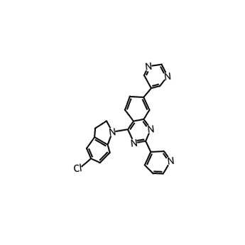 Clc1ccc2c(c1)CCN2c1nc(-c2cccnc2)nc2cc(-c3cncnc3)ccc12